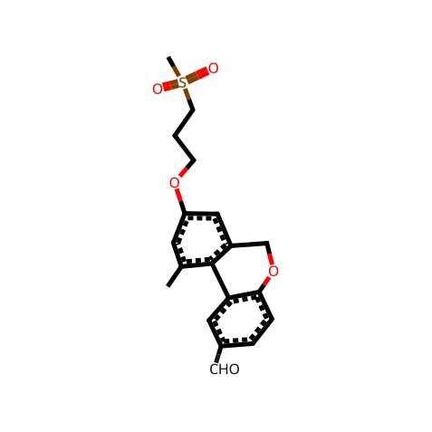 Cc1cc(OCCCS(C)(=O)=O)cc2c1-c1cc(C=O)ccc1OC2